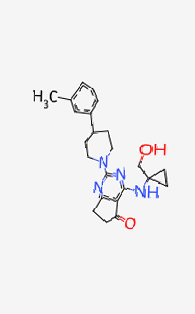 Cc1cccc(C2CCN(c3nc4c(c(NC5(CO)CC5)n3)C(=O)CC4)CC2)c1